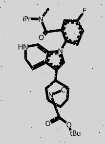 CC(C)N(C)C(=O)c1cc(F)ccc1-n1cc(C2CC3CCC2CN3C(=O)OC(C)(C)C)c2c1=CNCC=2